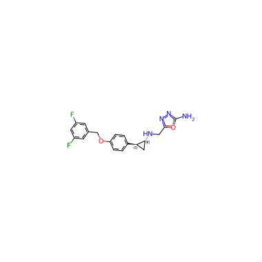 Nc1nnc(CN[C@@H]2C[C@H]2c2ccc(OCc3cc(F)cc(F)c3)cc2)o1